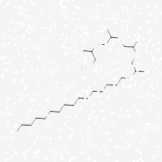 CCCCCCCCCCCCCCCCOC(C)COC(C)COC(C)COC(C)CO